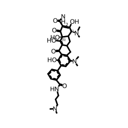 CN(C)CCCNC(=O)c1cccc(-c2cc(N(C)C)c3c(c2O)C(=O)C2=C(O)[C@]4(O)C(=O)C(C(N)=O)=C(O)[C@@H](N(C)C)C4CC2C3)c1